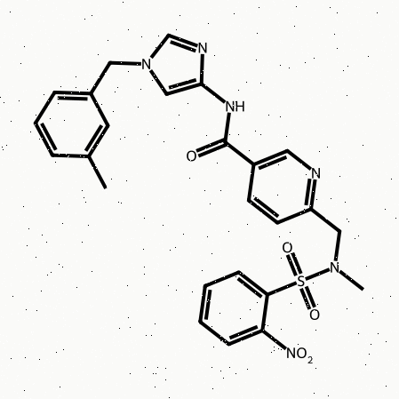 Cc1cccc(Cn2cnc(NC(=O)c3ccc(CN(C)S(=O)(=O)c4ccccc4[N+](=O)[O-])nc3)c2)c1